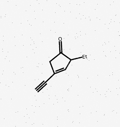 C#CC1=CC(CC)C(=O)C1